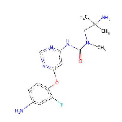 CN(CC(C)(C)N)C(=O)Nc1cc(Oc2ccc(N)cc2F)ncn1